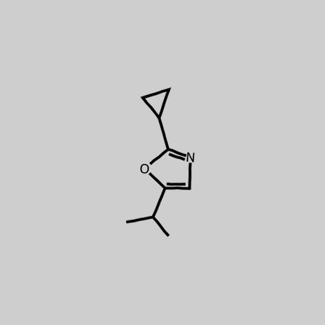 CC(C)c1cnc(C2CC2)o1